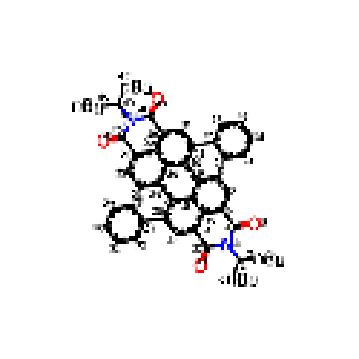 CCCCC(CCCC)N1C(=O)c2ccc3c4c(-c5ccccc5)cc5c6c(ccc(c7c(-c8ccccc8)cc(c2c37)C1=O)c64)C(=O)N(C(CCCC)CCCC)C5=O